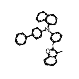 Cc1c(-c2cccc(N(c3ccc(-c4ccccc4)cc3)c3cccc4ccccc34)c2)oc2ccccc12